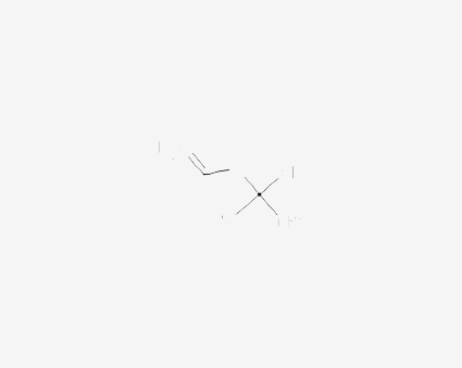 C=COC(Cl)(Cl)CCC